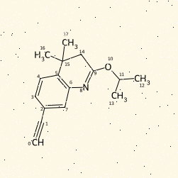 C#Cc1ccc2c(c1)N=C(OC(C)C)CC2(C)C